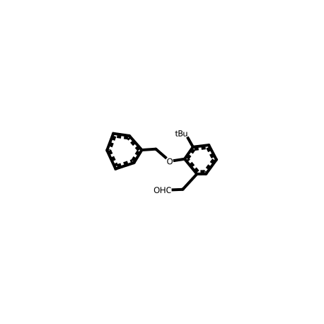 CC(C)(C)c1cccc(CC=O)c1OCc1ccccc1